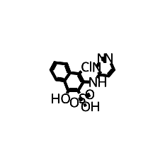 O=S(=O)(O)c1c(Nc2ccnnn2)c(Cl)c2ccccc2c1O